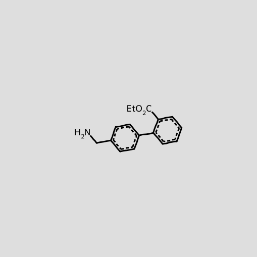 CCOC(=O)c1ccccc1-c1ccc(CN)cc1